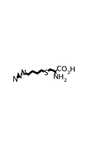 [N-]=[N+]=NCCCCSC[C@H](N)C(=O)O